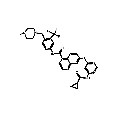 CN1CCN(Cc2ccc(NC(=O)c3cccc4cc(Oc5cc(NC(=O)C6CC6)ncn5)ccc34)cc2C(F)(F)F)CC1